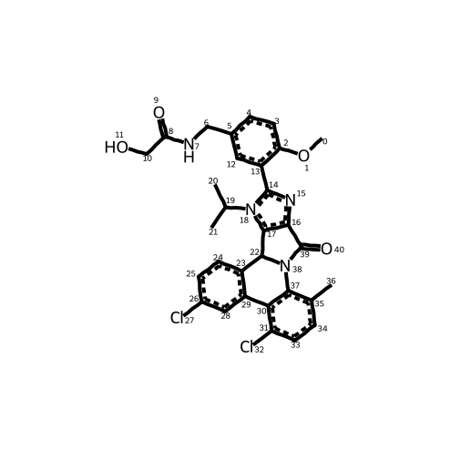 COc1ccc(CNC(=O)CO)cc1-c1nc2c(n1C(C)C)C1c3ccc(Cl)cc3-c3c(Cl)ccc(C)c3N1C2=O